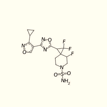 NS(=O)(=O)N1CCC2(C(F)C1)C(c1nc(-c3conc3C3CC3)no1)C2(F)F